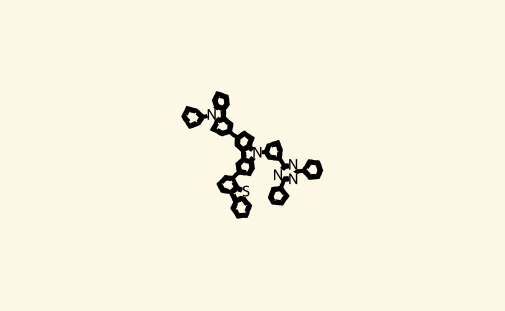 c1ccc(-c2nc(-c3ccccc3)nc(-c3cccc(-n4c5ccc(-c6ccc7c(c6)c6ccccc6n7-c6ccccc6)cc5c5cc(-c6cccc7c6sc6ccccc67)ccc54)c3)n2)cc1